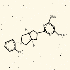 COc1cc(C(=O)O)nc(N2C[C@H]3C[C@H](c4ccccc4C(F)(F)F)C[C@H]3C2)n1